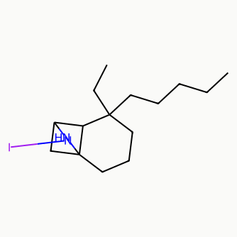 CCCCCC1(CC)CCCC23CC(C12)N(I)N3